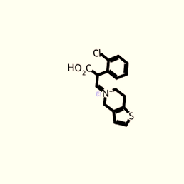 O=C(O)C(/C=[N+]1\CCc2sccc2C1)c1ccccc1Cl